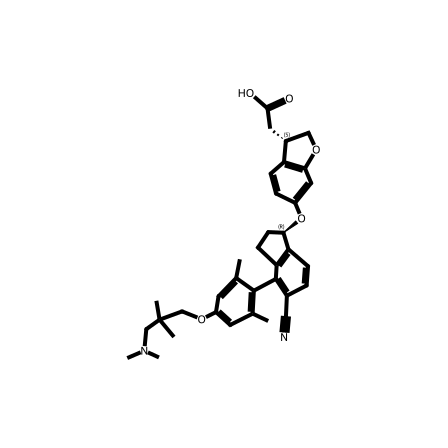 Cc1cc(OCC(C)(C)CN(C)C)cc(C)c1-c1c(C#N)ccc2c1CC[C@H]2Oc1ccc2c(c1)OC[C@H]2CC(=O)O